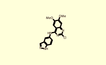 COc1cc2nc(Cl)nc(Nc3ccc4[nH]ncc4c3)c2cc1OC